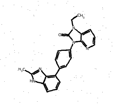 CCn1c(=O)n(-c2ccc(-c3cccc4[nH]c(C)nc34)cc2)c2ncccc21